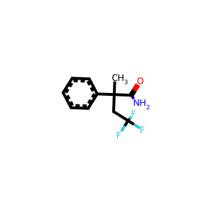 CC(CC(F)(F)F)(C(N)=O)c1ccccc1